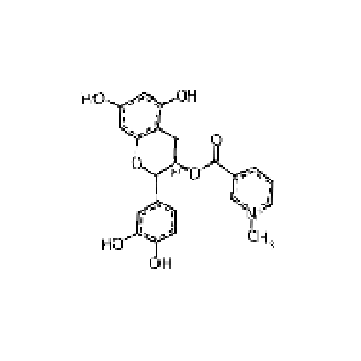 C[n+]1cccc(C(=O)O[C@@H]2Cc3c(O)cc(O)cc3OC2c2ccc(O)c(O)c2)c1